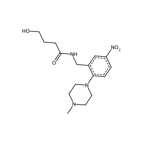 CN1CCN(c2ccc([N+](=O)[O-])cc2CNC(=O)CCCO)CC1